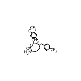 C[C@@H]1OC(=O)C(N)CCC[C@H](Cc2ccc(C(F)(F)F)cc2)[C@H]1Cc1ccc(OC(F)(F)F)cc1